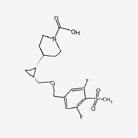 CS(=O)(=O)c1c(F)cc(COC[C@@H]2C[C@@H]2C2CCN(C(=O)O)CC2)cc1F